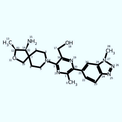 Cc1nc(N2CCC3(CC2)CO[C@@H](C)[C@H]3N)c(CO)nc1-c1ccc2nnn(C)c2c1